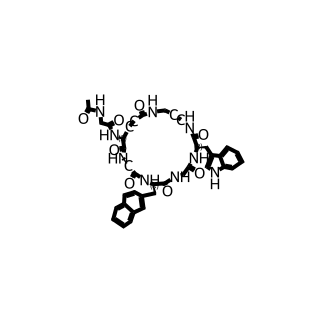 CC(=O)NCC(=O)N[C@H]1CCC(=O)NCCCNC(=O)[C@@H](Cc2c[nH]c3ccccc23)NC(=O)CNC(=O)[C@@H](Cc2ccc3ccccc3c2)NC(=O)CNC1=O